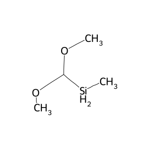 COC(OC)[SiH2]C